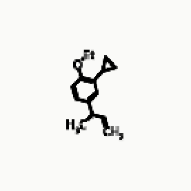 C=C[C](C)c1ccc(OCC)c(C2CC2)c1